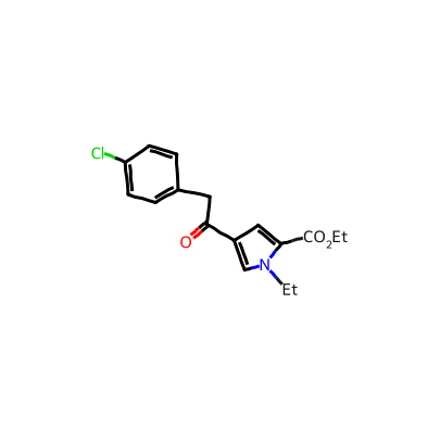 CCOC(=O)c1cc(C(=O)Cc2ccc(Cl)cc2)cn1CC